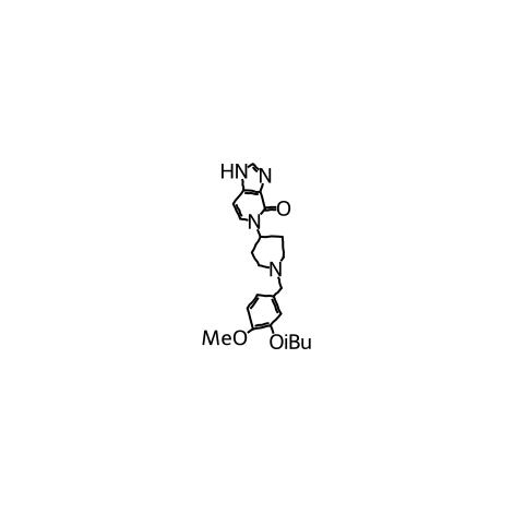 COc1ccc(CN2CCC(n3ccc4[nH]cnc4c3=O)CC2)cc1OCC(C)C